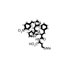 CSCC[C@@H](NC(=O)C(Cc1ccccc1)OC[C@]1(C(=O)Cc2cncn2Cc2ccc([N+](=O)[O-])cc2)CCCN1)C(=O)O